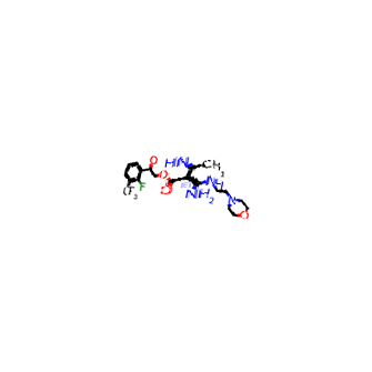 CC(=N)/C(C(=O)OCC(=O)c1cccc(C(F)(F)F)c1F)=C(/N)NCCN1CCOCC1